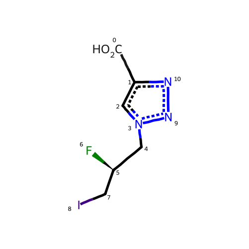 O=C(O)c1cn(C[C@H](F)CI)nn1